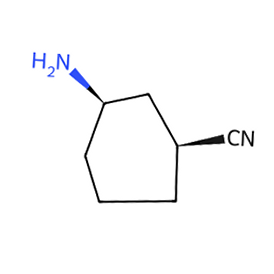 N#C[C@H]1CCC[C@@H](N)C1